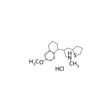 CNCC(CC1CCCS1)C1CCCc2cc(OC)ccc21.Cl